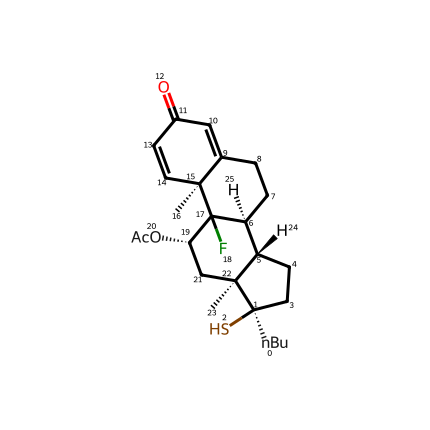 CCCC[C@@]1(S)CC[C@H]2[C@@H]3CCC4=CC(=O)C=C[C@]4(C)C3(F)[C@@H](OC(C)=O)C[C@@]21C